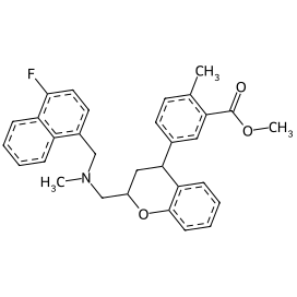 COC(=O)c1cc(C2CC(CN(C)Cc3ccc(F)c4ccccc34)Oc3ccccc32)ccc1C